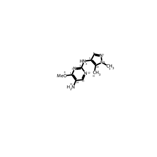 COc1nc(Nc2cnn(C)c2C)ncc1N